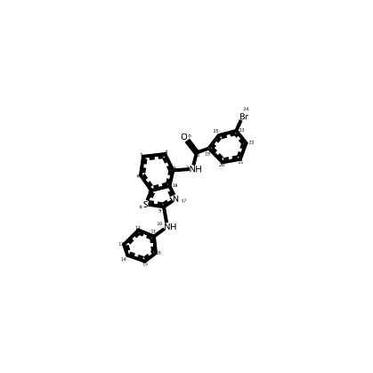 O=C(Nc1cccc2sc(Nc3ccccc3)nc12)c1cccc(Br)c1